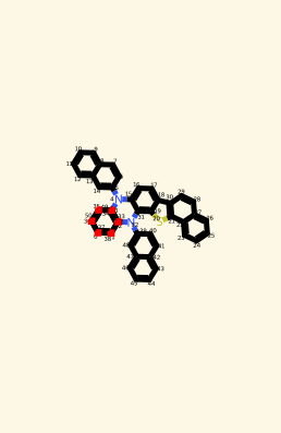 c1ccc(N(c2ccc3ccccc3c2)c2ccc3c(sc4c5ccccc5ccc34)c2N(c2ccccc2)c2ccc3ccccc3c2)cc1